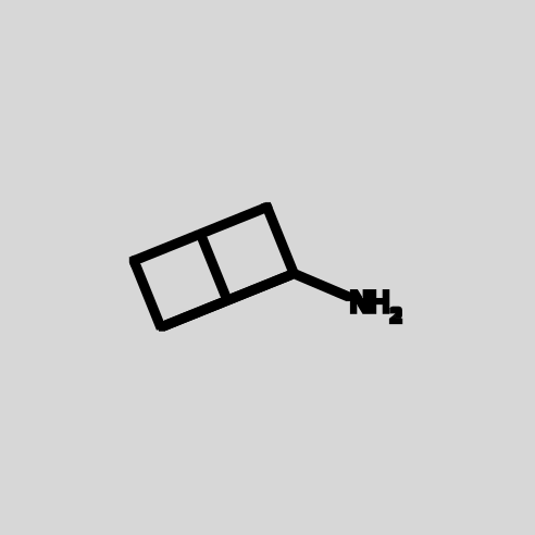 NC12CC3CC1C32